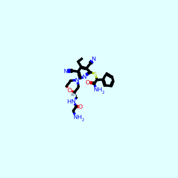 CCc1c(C#N)c(SC(C(N)=O)c2ccccc2)nc(N2CCO[C@@H](CNC(=O)CN)C2)c1C#N